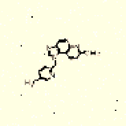 COc1ccc2c(ncc3ncn(Cc4ccc(C)cn4)c32)n1